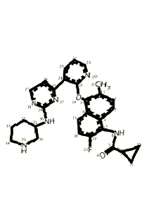 Cc1ccc2c(NC(=O)C3CC3)c(F)ccc2c1Oc1ncccc1-c1ccnc(NC2CCCNC2)n1